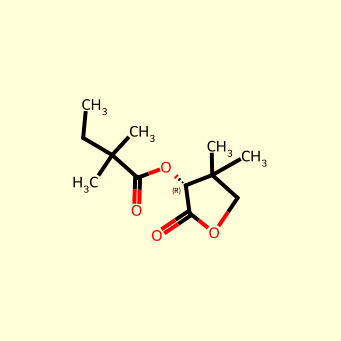 CCC(C)(C)C(=O)O[C@H]1C(=O)OCC1(C)C